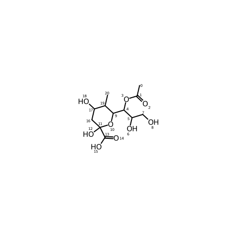 CC(=O)OC(C(O)CO)C1OC(O)(C(=O)O)CC(O)C1C